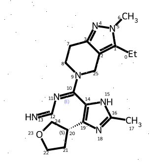 CCc1c2c(nn1C)CCN(/C(=N/C=N)c1[nH]c(C)nc1[C@@H]1CCOC1)C2